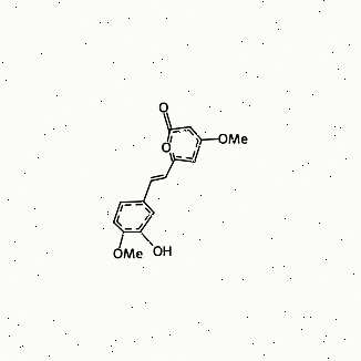 COc1cc(C=Cc2ccc(OC)c(O)c2)oc(=O)c1